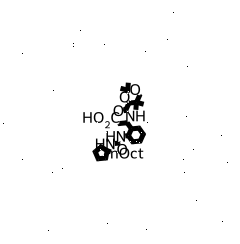 CCCCCCCCC1(NC(=O)NC2CCCCC2C(CC(=O)O)NC(=O)C2OC(C)(C)OCC2(C)C)CCCC1